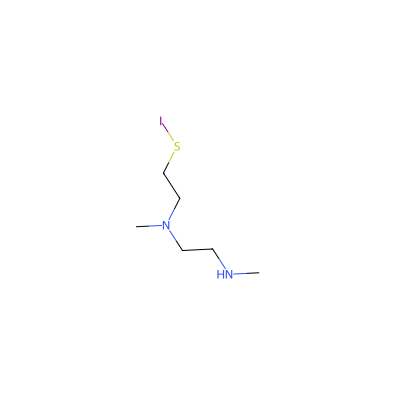 CNCCN(C)CCSI